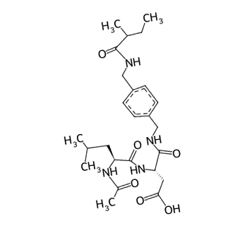 CCC(C)C(=O)NCc1ccc(CNC(=O)[C@H](CC(=O)O)NC(=O)[C@H](CC(C)C)NC(C)=O)cc1